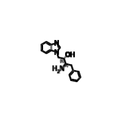 N[C@H](Cc1ccccc1)[C@@H](O)Cn1cnc2ccccc21